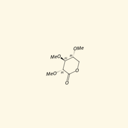 CO[C@H]1[C@H](OC)COC(=O)[C@@H]1OC